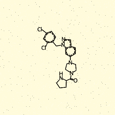 O=C(C1CCCN1)N1CCN(c2ccc3cnn(Cc4ccc(Cl)cc4Cl)c3c2)CC1